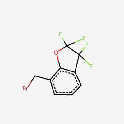 FC1(F)Oc2c(CBr)cccc2C1(F)F